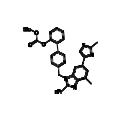 CCCc1nc2c(C)cc(-c3csc(C)n3)cc2n1Cc1ccc(-c2ccccc2OC(=O)OC(C)(C)C)cc1